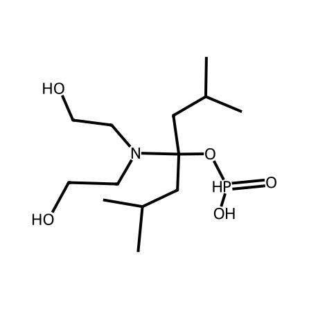 CC(C)CC(CC(C)C)(O[PH](=O)O)N(CCO)CCO